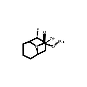 CC(C)(C)OC(=O)N1C2CCCC1[C@@H](F)[C@@H](O)C2